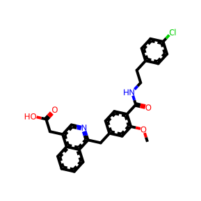 COc1cc(Cc2ncc(CC(=O)O)c3ccccc23)ccc1C(=O)NCCc1ccc(Cl)cc1